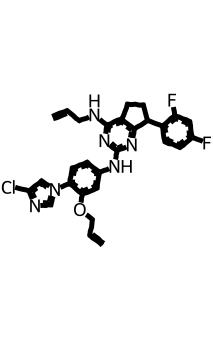 C=CCNc1nc(Nc2ccc(-n3cnc(Cl)c3)c(OCC=C)c2)nc2c1CCC2c1ccc(F)cc1F